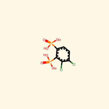 O=P(O)(O)c1ccc(Cl)c(Cl)c1P(=O)(O)O